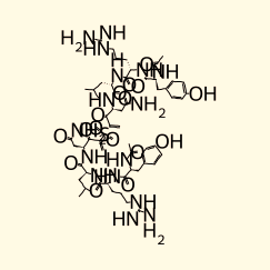 C=C(C(=O)[C@H](CC(N)=O)NC(=O)[C@H](CC(C)C)NC(=O)[C@H](CCCNC(=N)N)NC(=O)[C@H](Cc1ccc(O)cc1)NC(C)=O)S(=O)(=O)C(=C)C(=O)[C@H](CC(N)=O)NC(=O)[C@H](CC(C)C)NC(=O)[C@H](CCCNC(=N)N)NC(=O)[C@H](Cc1ccc(O)cc1)NC(C)=O